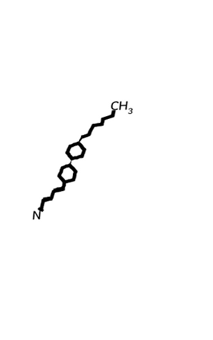 CCCCCCC[C@H]1CC[C@H](C2CCC(/C=C/C=C/C#N)CC2)CC1